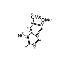 COc1cc2cnc(C)c(C#N)c2cc1OC